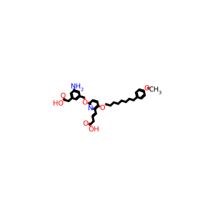 COc1ccc(CCCCCCCCOc2ccc(OCc3cc(N)cc(CC(=O)O)c3)nc2C=CCC(=O)O)cc1